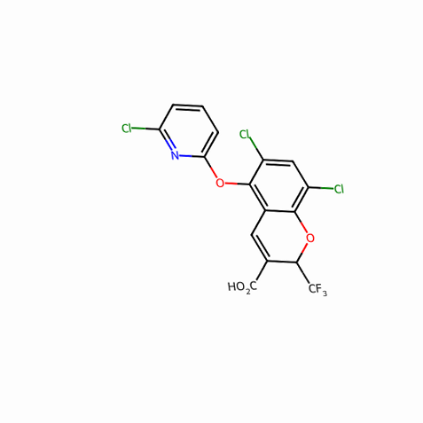 O=C(O)C1=Cc2c(Oc3cccc(Cl)n3)c(Cl)cc(Cl)c2OC1C(F)(F)F